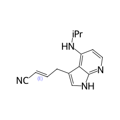 CC(C)Nc1ccnc2[nH]cc(C/C=C/C#N)c12